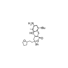 Cc1cc(SC2=C(O)CC(CCC3CCCO3)(C(C)C)OC2=O)c(C(C)(C)C)cc1N